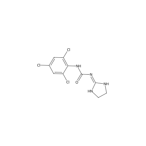 O=C(N=C1NCCN1)Nc1c(Cl)cc(Cl)cc1Cl